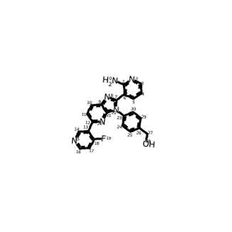 Nc1ncccc1-c1nc2ccc(-c3cnccc3F)nc2n1-c1ccc(CO)cc1